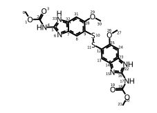 COC(=O)Nc1nc2cc(SSc3cc4nc(NC(=O)OC)[nH]c4cc3OC)c(OC)cc2[nH]1